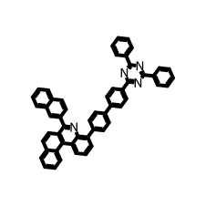 c1ccc(-c2nc(-c3ccccc3)nc(-c3ccc(-c4ccc(-c5cccc6c5nc(-c5ccc7ccccc7c5)c5ccc7ccccc7c56)cc4)cc3)n2)cc1